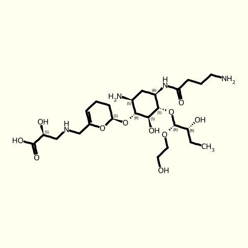 CC[C@@H](O)[C@H](OCCO)O[C@@H]1[C@@H](O)[C@H](O[C@@H]2CCC=C(CNC[C@H](O)C(=O)O)O2)[C@@H](N)C[C@H]1NC(=O)CCCN